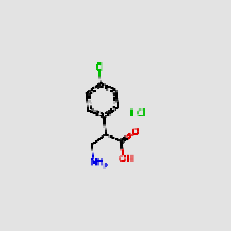 Cl.NCC(C(=O)O)c1ccc(Cl)cc1